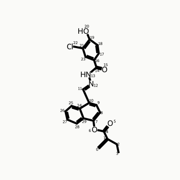 C=C(CC)C(=O)Oc1ccc(C=NNC(=O)c2ccc(O)c(Cl)c2)c2ccccc12